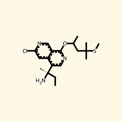 CC[C@@](C)(N)c1cnc(OC(C)CC(C)(C)SC)c2cnc(Cl)cc12